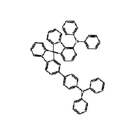 c1ccc(N(c2ccccc2)c2ccc(-c3ccc4c(c3)C3(c5ccccc5-4)c4ccccc4-c4c(N(c5ccccc5)c5ccccc5)cccc43)cc2)cc1